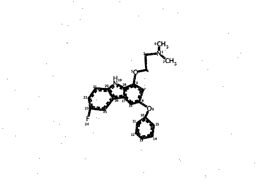 CN(C)CCOc1cc(Oc2ccccc2)cc2c1[nH]c1ccc(F)cc12